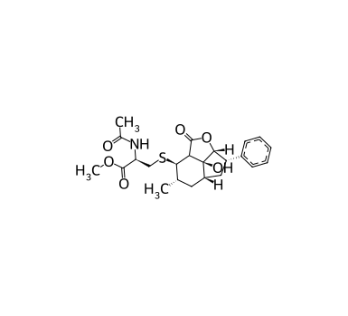 COC(=O)[C@H](CS[C@H]1C2C(=O)O[C@@H]3[C@H](c4ccccc4)C[C@H](C[C@@H]1C)[C@]23O)NC(C)=O